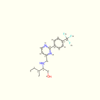 CCC(C)C(CO)NCc1ccnc(-c2ccc(C(F)(F)F)cc2)n1